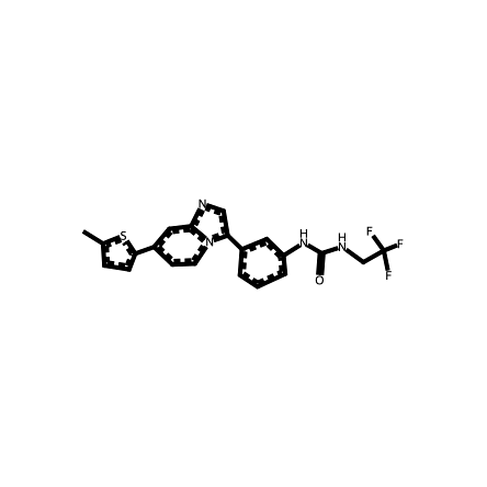 Cc1ccc(-c2ccn3c(-c4cccc(NC(=O)NCC(F)(F)F)c4)cnc3c2)s1